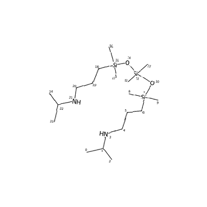 CC(C)NCCC[Si](C)(C)O[Si](C)(C)O[Si](C)(C)CCCNC(C)C